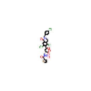 O=C(NC[C@H](CC(=O)c1c(Cl)cc2c(c1Cl)CCN(Cc1ccc(Cl)cc1)C2=O)C(=O)O)c1cccs1